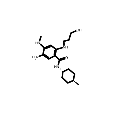 CNc1cc(NCCCO)c(C(=O)N[C@H]2CC[C@H](C)CC2)cc1N